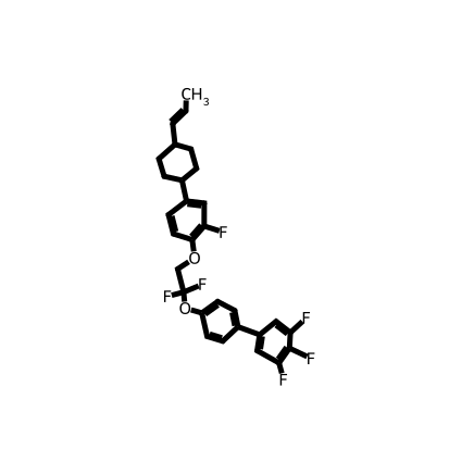 C/C=C/C1CCC(c2ccc(OCC(F)(F)Oc3ccc(-c4cc(F)c(F)c(F)c4)cc3)c(F)c2)CC1